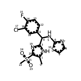 Cc1[nH]c(C(Nc2nccs2)c2ccc(F)c(Cl)c2)nc1S(C)(=O)=O